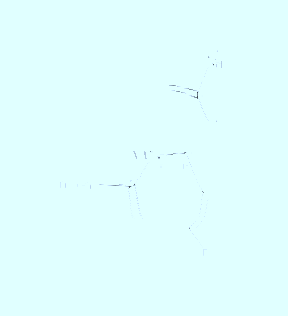 CC/C=C/[C@@H](CC(N)=O)NC(=O)CCCCC